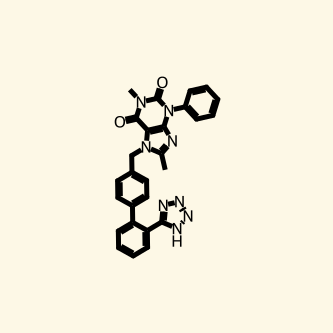 Cc1nc2c(c(=O)n(C)c(=O)n2-c2ccccc2)n1Cc1ccc(-c2ccccc2-c2nnn[nH]2)cc1